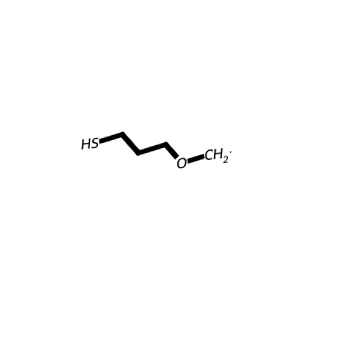 [CH2]OCCCS